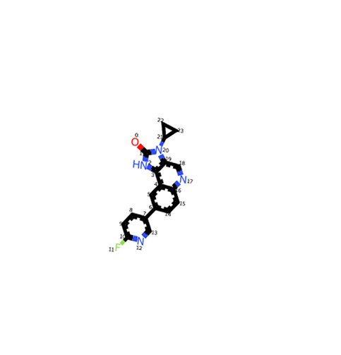 O=c1[nH]c2c3cc(-c4ccc(F)nc4)ccc3ncc2n1C1CC1